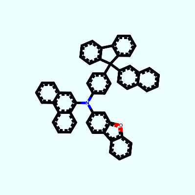 c1ccc2c(c1)-c1ccccc1C2(c1ccc(N(c2ccc3c(c2)oc2ccccc23)c2cc3ccccc3c3ccccc23)cc1)c1ccc2ccccc2c1